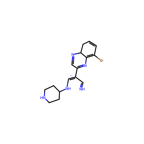 N=C/C(=C\NC1CCNCC1)C1=NC2=C(Br)C=CCC2N=C1